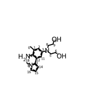 Cc1cc(N(CCO)CCO)cc(-c2cccn2C)c1N